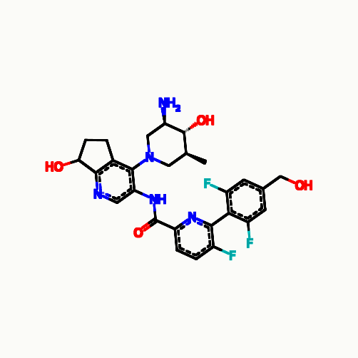 C[C@H]1CN(c2c(NC(=O)c3ccc(F)c(-c4c(F)cc(CO)cc4F)n3)cnc3c2CCC3O)C[C@@H](N)[C@@H]1O